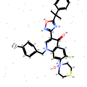 CC(C)(c1ccccc1)c1nc(-c2cn(Cc3ccc(C(F)(F)F)cc3)c3cc([N+]4([O-])CCSCC4)c(F)cc3c2=O)no1